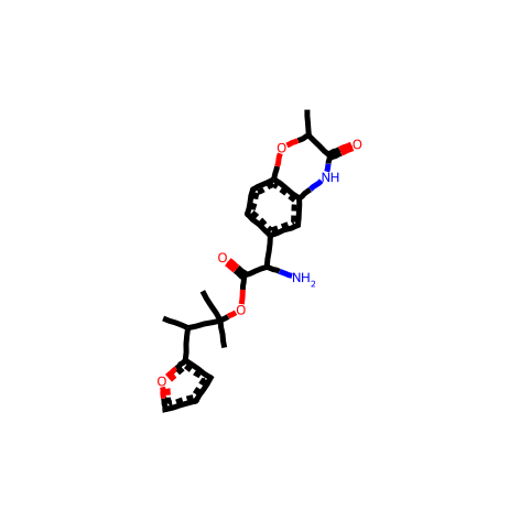 CC1Oc2ccc(C(N)C(=O)OC(C)(C)C(C)c3ccco3)cc2NC1=O